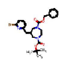 CC(C)(C)OC(=O)N1CCN(C(=O)OCc2ccccc2)CC(Cc2cccc(Br)n2)C1